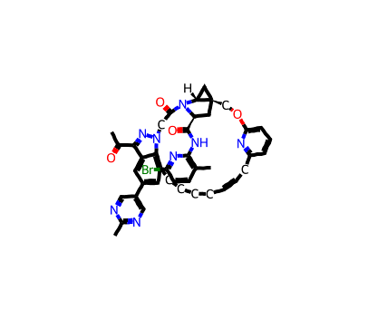 CC(=O)c1nn2c3c(cc(-c4cnc(C)nc4)cc13)CCCCC=CCc1cccc(n1)OC[C@@]13C[C@@H](C(=O)Nc4nc(Br)ccc4C)N(C(=O)C2)[C@@H]1C3